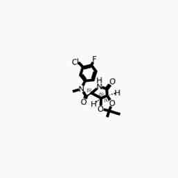 CN(C(=O)[C@H]1NC(=O)[C@H]2OC(C)(C)O[C@@H]12)c1ccc(F)c(Cl)c1